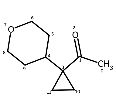 CC(=O)C1(C2CCOCC2)CC1